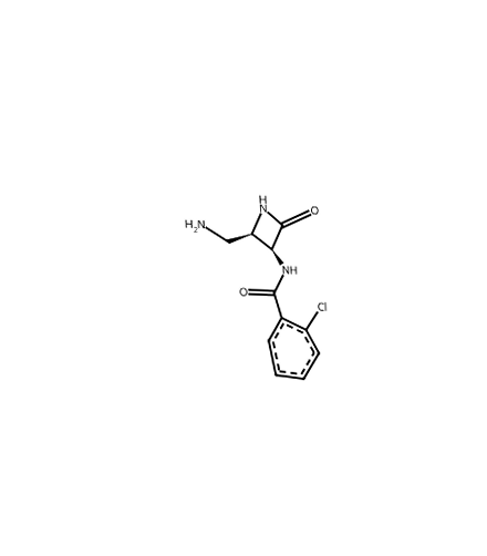 NC[C@H]1NC(=O)[C@H]1NC(=O)c1ccccc1Cl